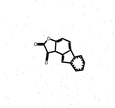 O=C1OC2=CC=C3C(=Cc4ccccc43)C2C1=O